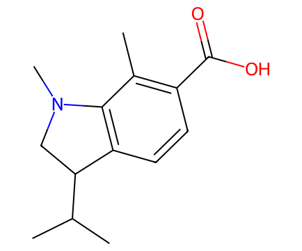 Cc1c(C(=O)O)ccc2c1N(C)CC2C(C)C